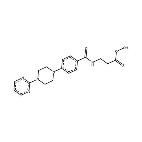 O=C(CCNC(=O)c1ccc(N2CCN(c3ncccn3)CC2)cc1)OO